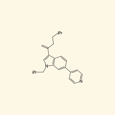 C=C(CCC(C)C)c1cn(CC(C)C)c2cc(-c3ccncc3)ccc12